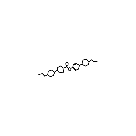 CCCC1CCC(C2C=CC(OC(=O)C3CCC(C4CCC(CCC)CC4)CC3)=CC2)CC1